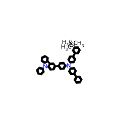 C[Si](C)(C)c1cccc(-c2ccc(N(c3ccc(-c4ccccc4)cc3)c3ccc(-c4ccc5c(c4)c4ccccc4n5-c4ccccc4)cc3)cc2)c1